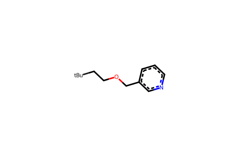 CC(C)(C)CCOCc1cccnc1